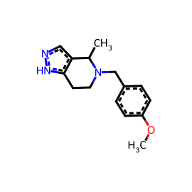 COc1ccc(CN2CCc3[nH]ncc3C2C)cc1